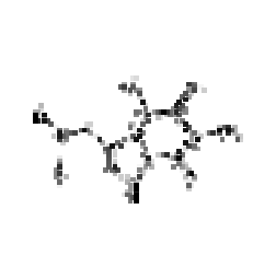 CCN(CC)Cc1c[nH]c2c(=O)n(C)c(=O)n(C)c12